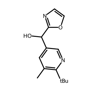 Cc1cc(C(O)c2ncco2)cnc1C(C)(C)C